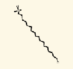 C[Si](C)(Cl)CCCCCCCCCCCCCCCCCCCl